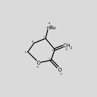 C=C1C(=O)OCCC1CCCC